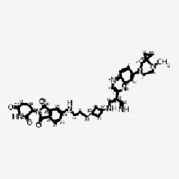 CN1CCN(c2ccc3ncc(/C(C=N)=C/N[C@H]4C[C@H](CCCNc5ccc6c(c5)C(=O)N(C5CCC(=O)NC5=O)C6=O)C4)nc3c2)CC12CC2